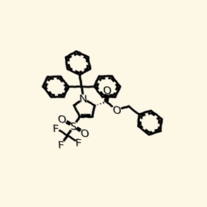 O=C(OCc1ccccc1)[C@@H]1C=C(S(=O)(=O)C(F)(F)F)CN1C(c1ccccc1)(c1ccccc1)c1ccccc1